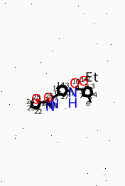 CCOc1ccc(C)cc1C(=O)Nc1cccc(-c2nnc(-c3ccco3)o2)c1